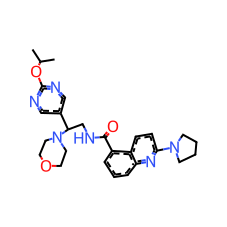 CC(C)Oc1ncc(C(CNC(=O)c2cccc3nc(N4CCCC4)ccc23)N2CCOCC2)cn1